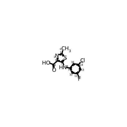 Cc1nc(C(=O)O)c(Nc2cc(F)cc(Cl)c2)s1